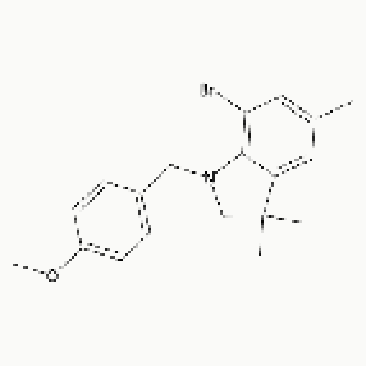 COc1ccc(CN2CC(C)(C)c3cc(C)cc(Br)c32)cc1